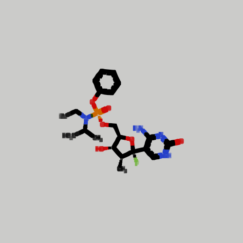 CCC(C)CN(C(C)C(=O)O)[P@@](=O)(OC[C@H]1O[C@@](F)(c2c[nH]c(=O)nc2N)[C@H](C)[C@@H]1O)Oc1ccccc1